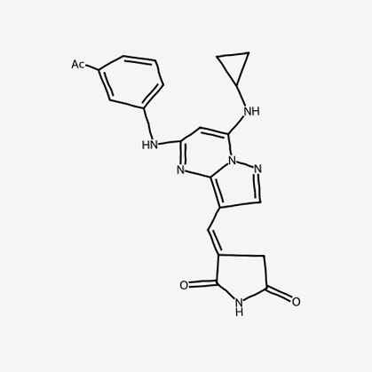 CC(=O)c1cccc(Nc2cc(NC3CC3)n3ncc(/C=C4\CC(=O)NC4=O)c3n2)c1